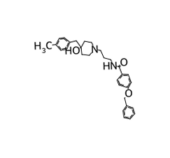 Cc1ccc(CC2(O)CCN(CCCNC(=O)c3ccc(OCc4ccccc4)cc3)CC2)cc1